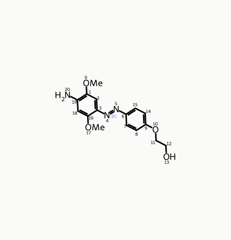 COc1cc(/N=N/c2ccc(OCCO)cc2)c(OC)cc1N